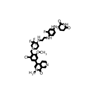 COc1cc(-c2cn(C)c(=O)c3cnccc23)cc(Cl)c1CN1CC[C@H](NCCNc2ccc(N[C@H]3CCC(=O)NC3=O)cc2F)C(F)(F)C1